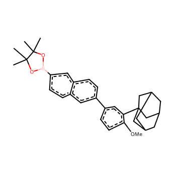 COc1ccc(-c2ccc3cc(B4OC(C)(C)C(C)(C)O4)ccc3c2)cc1C12CC3CC(CC(C3)C1)C2